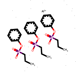 CCCP(=O)([O-])Oc1ccccc1.CCCP(=O)([O-])Oc1ccccc1.CCCP(=O)([O-])Oc1ccccc1.[Al+3]